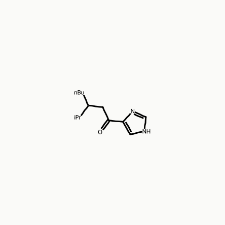 C[CH]CCC(CC(=O)c1c[nH]cn1)C(C)C